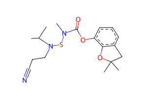 CC(C)N(CCC#N)SN(C)C(=O)Oc1cccc2c1OC(C)(C)C2